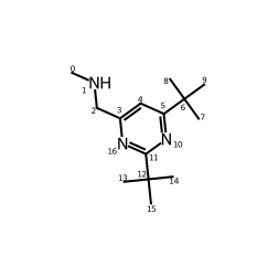 CNCc1cc(C(C)(C)C)nc(C(C)(C)C)n1